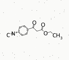 [C-]#[N+]c1ccc(C(=O)CC(=O)OCC)cc1